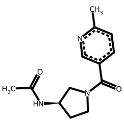 CC(=O)N[C@@H]1CCN(C(=O)c2ccc(C)nc2)C1